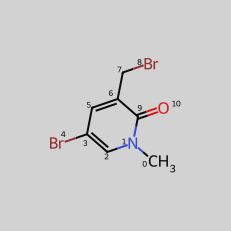 Cn1cc(Br)cc(CBr)c1=O